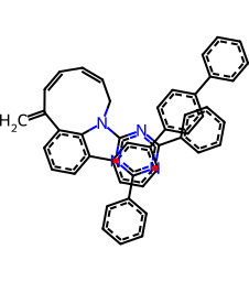 C=C1/C=C\C=C/CN(c2nc(-c3ccccc3)nc(-c3ccccc3)n2)c2c1cccc2-c1cccc(-c2ccc(-c3ccccc3)cc2)c1